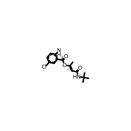 C/C(=C\C(=O)NC(C)(C)C)OC(=O)c1cc(Cl)ccc1N